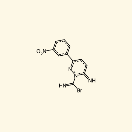 N=C(Br)n1nc(-c2cccc([N+](=O)[O-])c2)ccc1=N